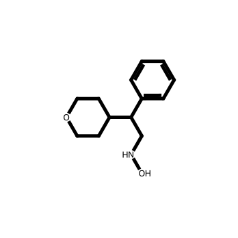 ONCC(c1ccccc1)C1CCOCC1